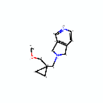 CC(C)OCC1(CN2Cc3ccncc3C2)CC1